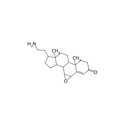 CC12CCC(=O)C=C1C1OC1C1C2CCC2(C)C(CCN)CCC12